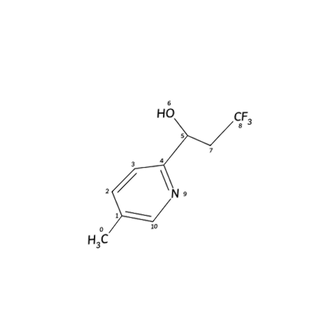 Cc1ccc(C(O)CC(F)(F)F)nc1